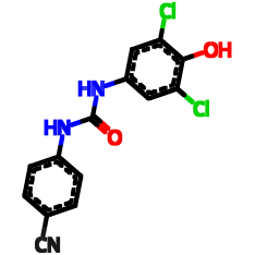 N#Cc1ccc(NC(=O)Nc2cc(Cl)c(O)c(Cl)c2)cc1